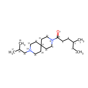 CCC(C)CCC(=O)N1CCC2(CCN(CC(C)C)CC2)CC1